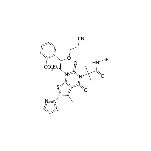 CCOC(=O)c1ccccc1[C@H](Cn1c(=O)n(C(C)(C)C(=O)NC(C)C)c(=O)c2c(C)c(-n3nccn3)sc21)OCCC#N